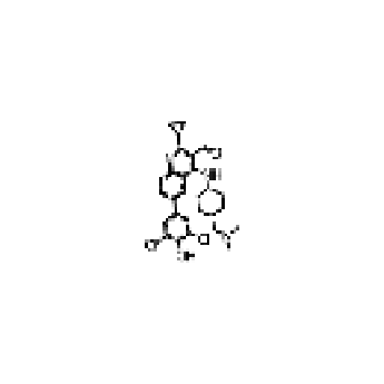 CN(C)C[C@H]1CC[C@H](Nc2c(C=O)c(C3CC3)nc3ccc(-c4cc(Cl)c(O)c(Cl)c4)cc23)CC1